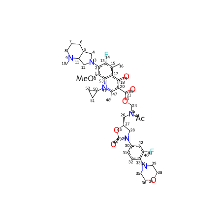 COc1c(N2CC3CCCN(C)C3C2)c(F)c(C)c2c(=O)c(C(=O)OCN(C[C@H]3CN(c4ccc(N5CCOCC5)c(F)c4)C(=O)O3)C(C)=O)c(C)n(C3CC3)c12